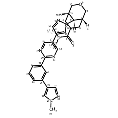 CN(C)C(=O)C1C[C@H]2COC[C@@H](C1)[C@@H]2n1cc(-c2cnc(-c3cccc(-c4cnn(C)c4)c3)nc2)cn1